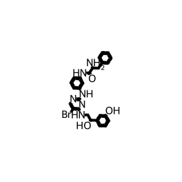 NC(Cc1ccccc1)C(=O)Nc1cccc(Nc2ncc(Br)c(NCC(O)c3cccc(O)c3)n2)c1